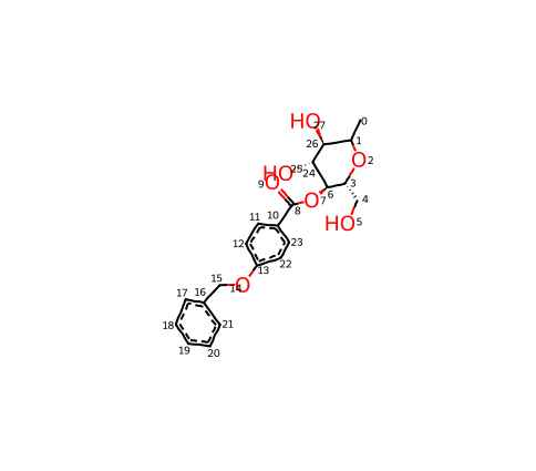 CC1O[C@H](CO)[C@@H](OC(=O)c2ccc(OCc3ccccc3)cc2)[C@H](O)[C@H]1O